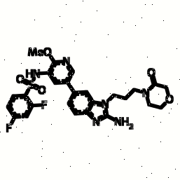 COc1ncc(-c2ccc3nc(N)n(CCCN4CCOCC4=O)c3c2)cc1NS(=O)(=O)c1ccc(F)cc1F